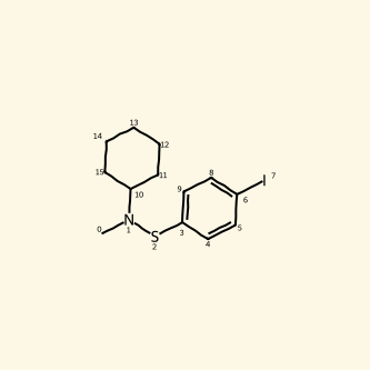 CN(Sc1ccc(I)cc1)C1CCCCC1